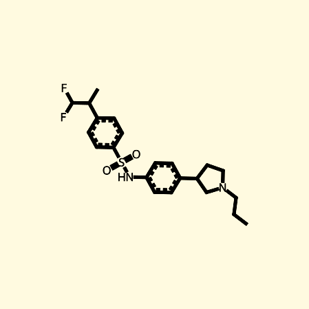 CCCN1CCC(c2ccc(NS(=O)(=O)c3ccc(C(C)C(F)F)cc3)cc2)C1